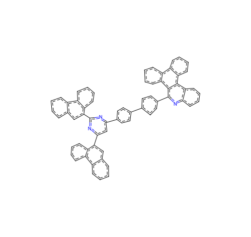 c1ccc2c(c1)cc(-c1cc(-c3ccc(-c4ccc(-c5nc6ccccc6c6c7ccccc7c7ccccc7c56)cc4)cc3)nc(-c3cc4ccccc4c4ccccc34)n1)c1ccccc12